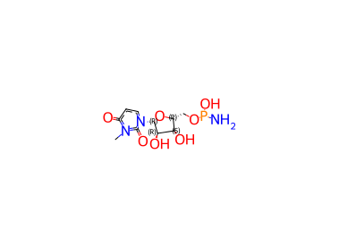 Cn1c(=O)ccn([C@@H]2O[C@H](COP(N)O)[C@@H](O)[C@H]2O)c1=O